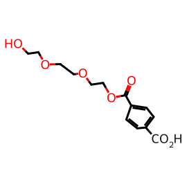 O=C(O)c1ccc(C(=O)OCCOCCOCCO)cc1